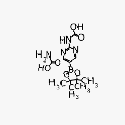 CC1(C)OB(c2cnc(NC(=O)O)nc2)OC1(C)C.NC(=O)O